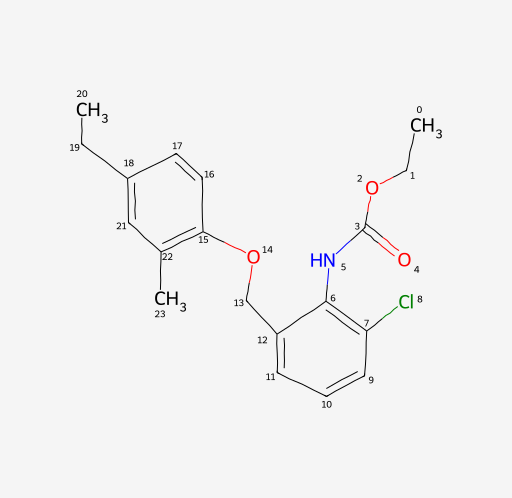 CCOC(=O)Nc1c(Cl)cccc1COc1ccc(CC)cc1C